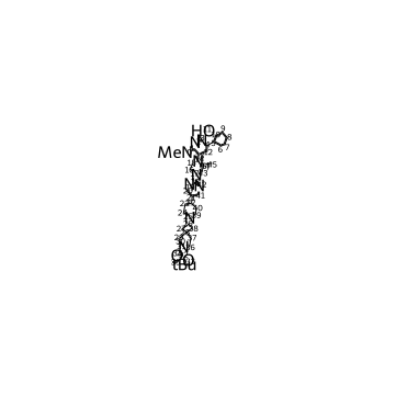 CNc1nnc(-c2ccccc2O)cc1N1CCN(c2ncc(C3CCN(C4CC5(CCN(C(=O)OC(C)(C)C)CC5)C4)CC3)cn2)C[C@@H]1C